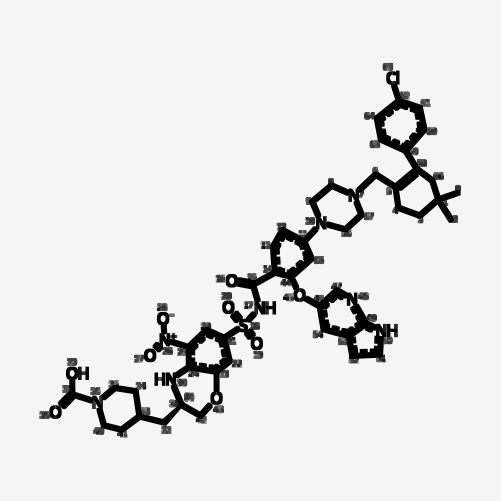 CC1(C)CCC(CN2CCN(c3ccc(C(=O)NS(=O)(=O)c4cc5c(c([N+](=O)[O-])c4)N[C@H](CC4CCN(C(=O)O)CC4)CO5)c(Oc4cnc5[nH]ccc5c4)c3)CC2)=C(c2ccc(Cl)cc2)C1